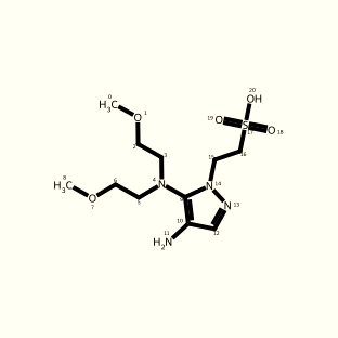 COCCN(CCOC)c1c(N)cnn1CCS(=O)(=O)O